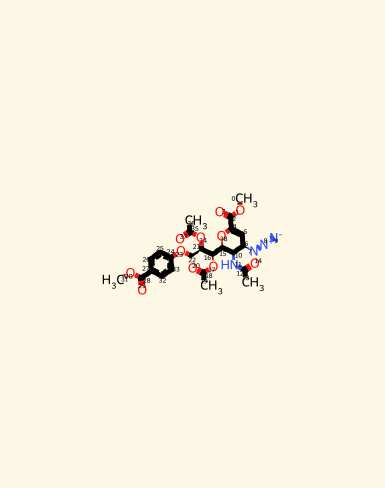 COC(=O)C1=C[C@H](N=[N+]=[N-])[C@@H](NC(C)=O)[C@H]([C@H](OC(C)=O)[C@@H](COc2ccc(C(=O)OC)cc2)OC(C)=O)O1